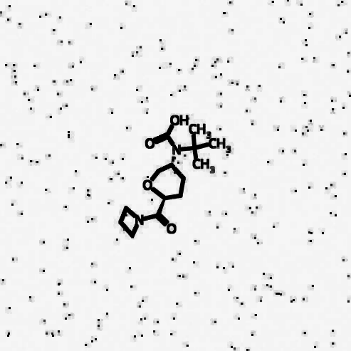 CC(C)(C)N(C(=O)O)[C@@H]1CC[C@@H](C(=O)N2CCC2)OC1